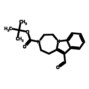 CC(C)(C)OC(=O)N1CCc2c(C=O)c3ccccc3n2CC1